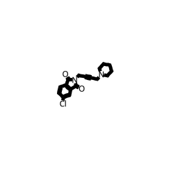 O=C1c2ccc(Cl)cc2C(=O)N1CC#CCN1CCCCC1